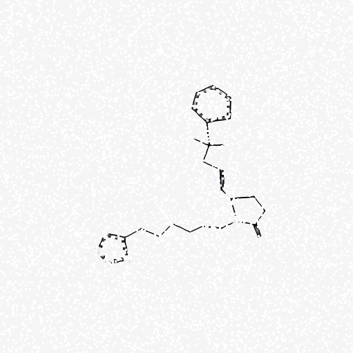 O=C1CC[C@H](/C=C/CC(F)(F)c2ccccc2)N1CCCCCCc1nn[nH]n1